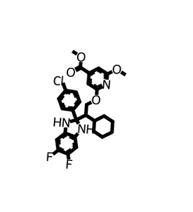 COC(=O)c1cc(OC)nc(OCC(C2CCCCC2)C2(c3ccc(Cl)cc3)Nc3cc(F)c(F)cc3N2)c1